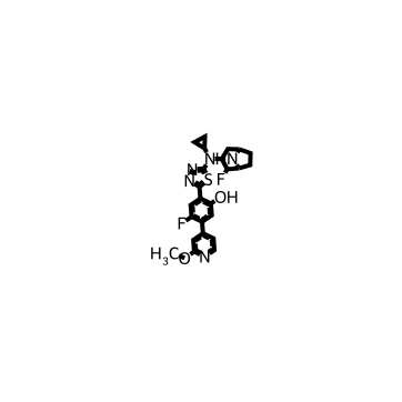 COc1cc(-c2cc(O)c(-c3nnc(N(C4CC4)C4CC5CCC(N5)C4F)s3)cc2F)ccn1